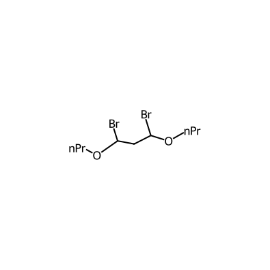 CCCOC(Br)CC(Br)OCCC